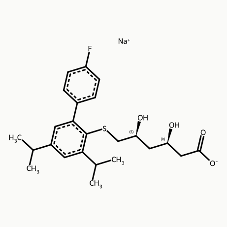 CC(C)c1cc(-c2ccc(F)cc2)c(SC[C@@H](O)C[C@@H](O)CC(=O)[O-])c(C(C)C)c1.[Na+]